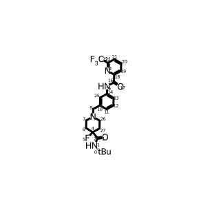 CC(C)(C)NC(=O)C1(F)CCN(Cc2cccc(NC(=O)c3cccc(C(F)(F)F)n3)c2)CC1